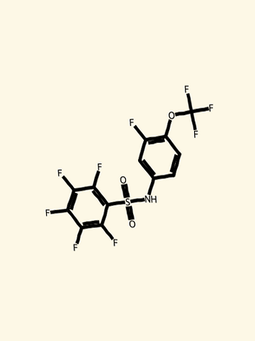 O=S(=O)(Nc1ccc(OC(F)(F)F)c(F)c1)c1c(F)c(F)c(F)c(F)c1F